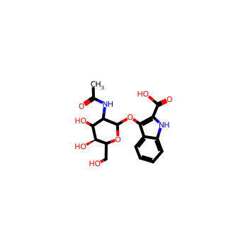 CC(=O)NC1C(Oc2c(C(=O)O)[nH]c3ccccc23)OC(CO)[C@@H](O)C1O